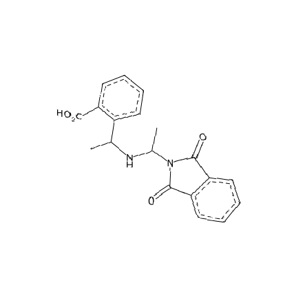 CC(NC(C)N1C(=O)c2ccccc2C1=O)c1ccccc1C(=O)O